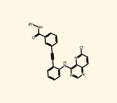 CC(C)NC(=O)c1cccc(C#Cc2ccccc2Nc2ncnc3ccc(Cl)nc23)c1